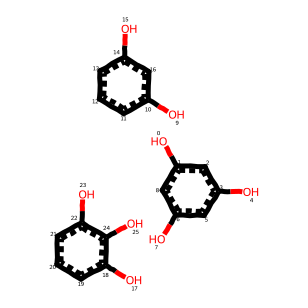 Oc1cc(O)cc(O)c1.Oc1cccc(O)c1.Oc1cccc(O)c1O